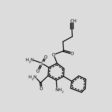 C#CCCC(=O)Oc1cc(-c2ccccc2)c(N)c(C(N)=O)c1S(N)(=O)=O